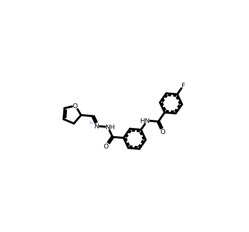 O=C(N/N=C/C1CC=CO1)c1cccc(NC(=O)c2ccc(F)cc2)c1